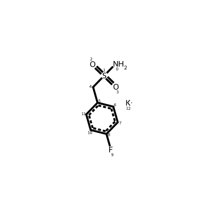 NS(=O)(=O)Cc1ccc(F)cc1.[K]